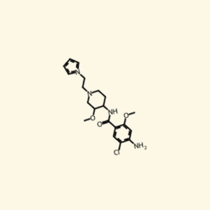 COc1cc(N)c(Cl)cc1C(=O)NC1CCN(CCn2cccc2)CC1OC